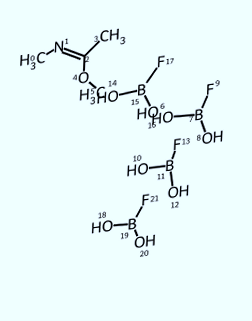 CN=C(C)OC.OB(O)F.OB(O)F.OB(O)F.OB(O)F